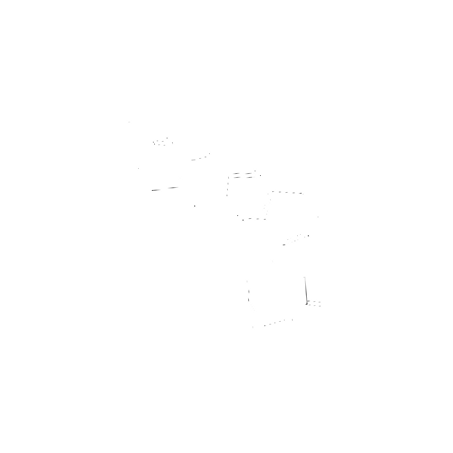 CCOCc1cnc(Cl)nc1N(C)c1cnc2c(ccc3sc4c(c32)NC[C@@H](C)NC4=O)n1